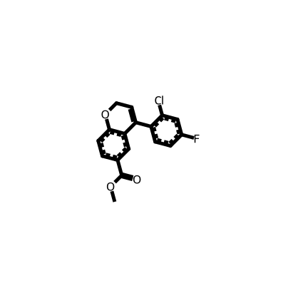 COC(=O)c1ccc2c(c1)C(c1ccc(F)cc1Cl)=CCO2